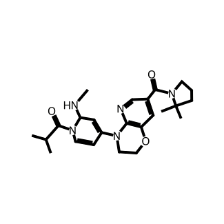 CNC1C=C(N2CCOc3cc(C(=O)N4CCCC4(C)C)cnc32)C=CN1C(=O)C(C)C